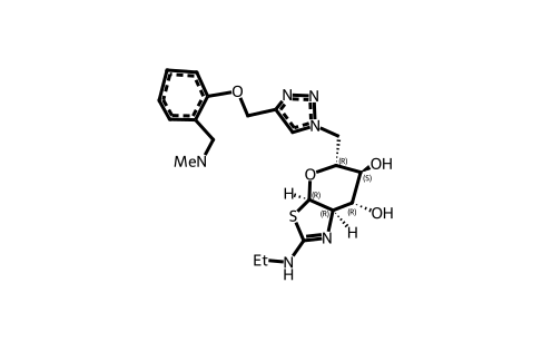 CCNC1=N[C@@H]2[C@@H](O)[C@H](O)[C@@H](Cn3cc(COc4ccccc4CNC)nn3)O[C@@H]2S1